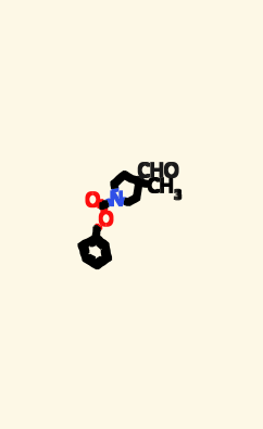 CC1(C=O)CCN(C(=O)OCc2ccccc2)CC1